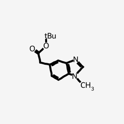 Cn1cnc2cc(CC(=O)OC(C)(C)C)ccc21